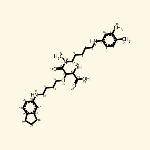 Cc1ccc(NCCCCCN(C)C(=O)C(OCCCCNc2ccc3c(c2)CCC3)C(O)C(=O)O)cc1C